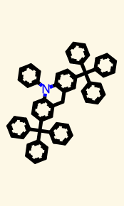 c1ccc(N2c3ccc(C(c4ccccc4)(c4ccccc4)c4ccccc4)cc3Cc3cc(C(c4ccccc4)(c4ccccc4)c4ccccc4)ccc32)cc1